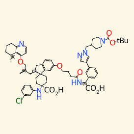 C[C@@H](COc1ccnc2c1[C@H](C)CCC2)C[C@H]1Cc2ccc(OCCCC(=O)N[C@@H](C(=O)O)c3cccc(-c4cnn(CC5CCN(C(=O)OC(C)(C)C)CC5)c4)c3)cc2C12CCC(Nc1cccc(Cl)c1)(C(=O)O)CC2